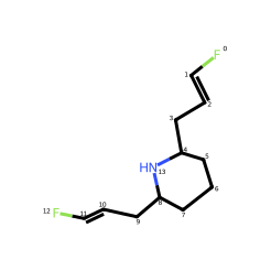 FC=CCC1CCCC(CC=CF)N1